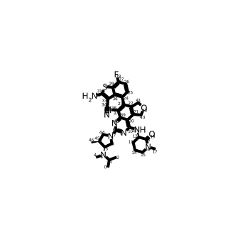 CC(C)N(C)[C@H]1CN(c2nc(N[C@@H]3CCCN(C)C3=O)c3c4c(c(-c5ccc(F)c6sc(N)c(C#N)c56)c(Cl)c3n2)COC4)C[C@@H]1C